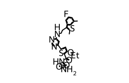 CCOc1cc(-c2cc(NCCc3c(C)sc4c(C)cc(F)cc34)ncn2)sc1C(=O)NS(N)(=O)=O